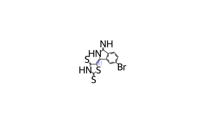 N=C1N/C(=C2/SC(=S)NC2=S)c2cc(Br)ccc21